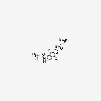 CCN(CC)CCC(=O)Nc1ccc2c(c1)C(=O)c1cc(NC(=O)CCN(CC)CC)ccc1C2=O